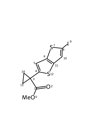 COC(=O)C1(c2cc3sc(I)cc3s2)CC1